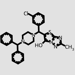 Cc1nc2sc(C(c3cccc(Cl)c3)N3CCN(C(c4ccccc4)c4ccccc4)CC3)c(O)n2n1